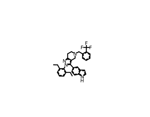 CCc1cccc(CC)c1-n1nc2c(c1-c1ccc3[nH]ccc3c1)CN(Cc1ccccc1C(F)(F)F)CC2